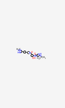 CN/C=C(\C=N)c1ccc(C2CCN(C(=O)c3ccc(O)c(NC(=O)c4ccc(NC(C)C)nc4)c3)CC2)cc1